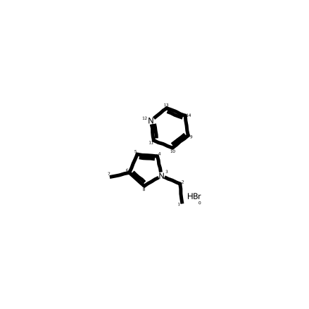 Br.CCn1ccc(C)c1.c1ccncc1